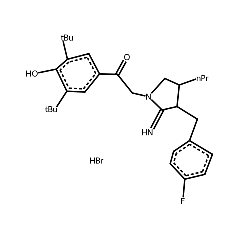 Br.CCCC1CN(CC(=O)c2cc(C(C)(C)C)c(O)c(C(C)(C)C)c2)C(=N)C1Cc1ccc(F)cc1